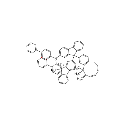 C=C1/C=C\C=C/Cc2ccc(C3(c4ccc5c(c4)C(C)(C)c4ccccc4-5)c4ccccc4-c4ccc(N(c5ccc(-c6ccccc6)cc5)c5ccccc5-c5ccccc5)cc43)cc2C1(C)C